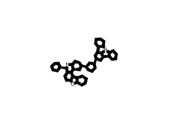 c1ccc(-c2nc3ccc(-c4cccc(-c5cc6c7ccccc7n7c8ccccc8c(c5)c67)c4)cc3c3c2ccc2oc4ccccc4c23)cc1